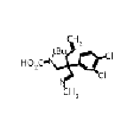 C=CCC(C=NC)(CN(C(=O)O)C(C)(C)C)c1ccc(Cl)c(Cl)c1